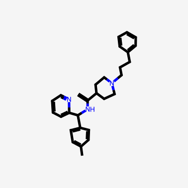 C=C(NC(c1ccc(C)cc1)c1ccccn1)C1CCN(CCCc2ccccc2)CC1